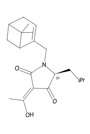 CC(O)=C1C(=O)[C@H](CC(C)C)N(CC2=CCC3CC2C3(C)C)C1=O